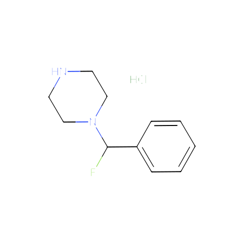 Cl.FC(c1ccccc1)N1CCNCC1